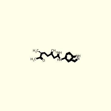 C=C(CC[C@H](C)C(C)=O)CC(=N)Nc1ccc2[nH]ncc2c1